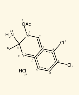 CC(=O)ON1C=c2c(Cl)c(Cl)ccc2=NC1(C)N.Cl